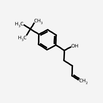 C=CCCC(O)c1ccc(C(C)(C)C)cc1